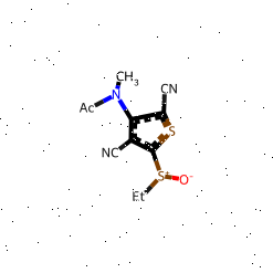 CC[S+]([O-])c1sc(C#N)c(N(C)C(C)=O)c1C#N